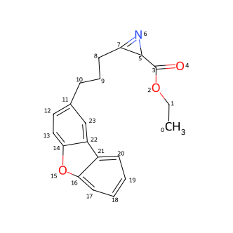 CCOC(=O)C1N=C1CCCc1ccc2oc3ccccc3c2c1